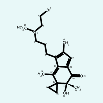 CC1=C(CCCN(CCBr)C(=O)O)C2=C(C)C3(CC3)[C@@](C)(O)C(=O)C2=C1